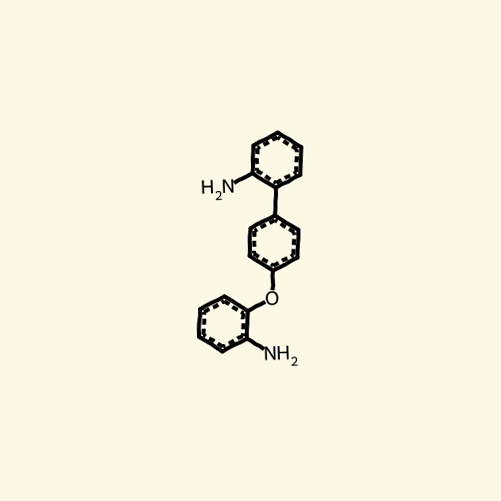 Nc1ccccc1Oc1ccc(-c2ccccc2N)cc1